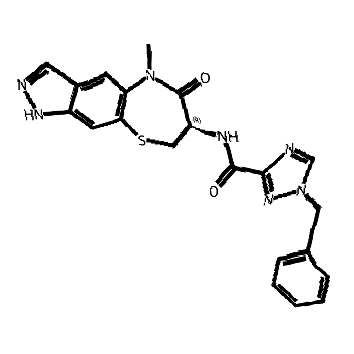 CN1C(=O)[C@@H](NC(=O)c2ncn(Cc3ccccc3)n2)CSc2cc3[nH]ncc3cc21